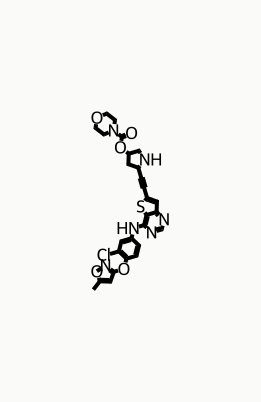 Cc1cc(Oc2ccc(Nc3ncnc4cc(C#CC5CC(OC(=O)N6CCOCC6)CN5)sc34)cc2Cl)no1